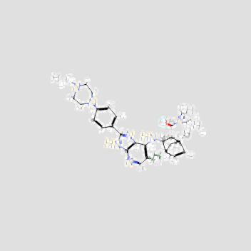 CN1CCN(c2ccc(-c3nc4c(N[C@H]5[C@H](C(=O)N(C)C)[C@@H]6C=C[C@@H]5C6)c(Cl)cnc4[nH]3)cc2)CC1